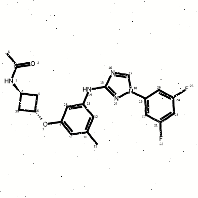 CC(=O)N[C@H]1C[C@H](Oc2cc(C)cc(Nc3ncn(-c4cc(F)cc(F)c4)n3)c2)C1